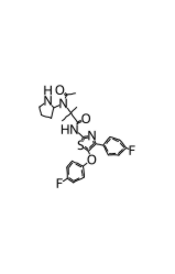 CC(=O)N(C1CCCN1)C(C)(C)C(=O)Nc1nc(-c2ccc(F)cc2)c(Oc2ccc(F)cc2)s1